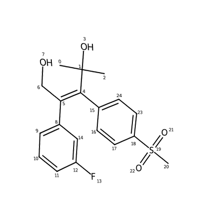 CC(C)(O)/C(=C(\CO)c1cccc(F)c1)c1ccc(S(C)(=O)=O)cc1